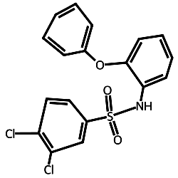 O=S(=O)(Nc1ccccc1Oc1ccccc1)c1ccc(Cl)c(Cl)c1